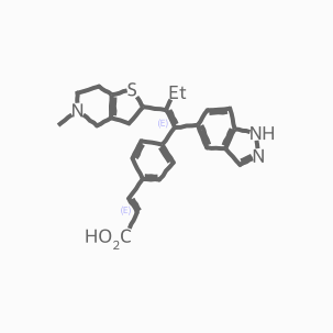 CC/C(=C(/c1ccc(/C=C/C(=O)O)cc1)c1ccc2[nH]ncc2c1)C1CC2=C(CCN(C)C2)S1